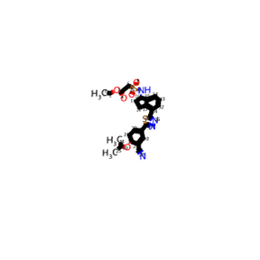 CCOC(=O)CS(=O)(=O)N[C@H]1CCc2c(-c3nnc(C4=CCC(OC(C)C)C(C#N)=C4)s3)cccc21